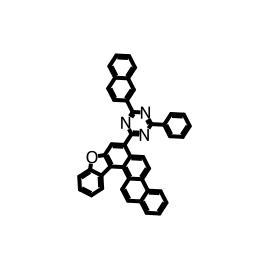 c1ccc(-c2nc(-c3ccc4ccccc4c3)nc(-c3cc4oc5ccccc5c4c4c3ccc3c5ccccc5ccc34)n2)cc1